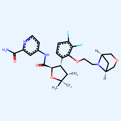 C[C@H]1[C@@H](c2ccc(F)c(F)c2OCCN2[C@@H]3COC[C@H]2C3)[C@H](C(=O)Nc2ccnc(C(N)=O)c2)O[C@@]1(C)C(F)(F)F